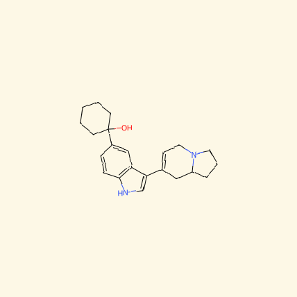 OC1(c2ccc3[nH]cc(C4=CCN5CCCC5C4)c3c2)CCCCC1